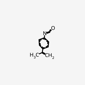 C=C(C)c1ccc(N=C=O)cc1